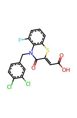 O=C(O)C=C1Sc2cccc(F)c2N(Cc2ccc(Cl)c(Cl)c2)C1=O